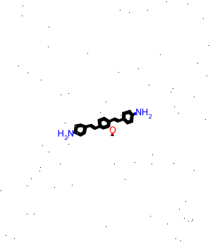 COc1cc(C=Cc2ccc(N)cc2)ccc1C=Cc1ccc(N)cc1